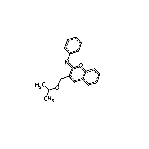 CC(C)OCc1cc2ccccc2o/c1=N\c1ccccc1